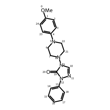 COc1ccc(N2CCN(n3cnn(-c4ccccc4)c3=O)CC2)cc1